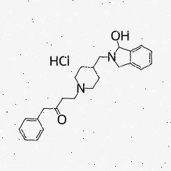 Cl.O=C(CCN1CCC(CN2Cc3ccccc3C2O)CC1)Cc1ccccc1